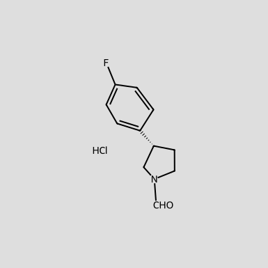 Cl.O=CN1CC[C@@H](c2ccc(F)cc2)C1